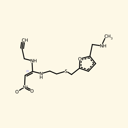 C#CCN/C(=C/[N+](=O)[O-])NCCSCc1ccc(CNC)o1